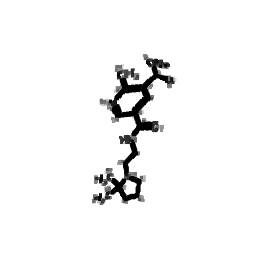 C[CH]C(OC)c1cc(C(=O)NCCN2CCCC2(C)C)cnc1C